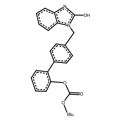 CC(C)(C)OC(=O)Oc1ccccc1-c1ccc(Cn2c(O)nc3ccccc32)cc1